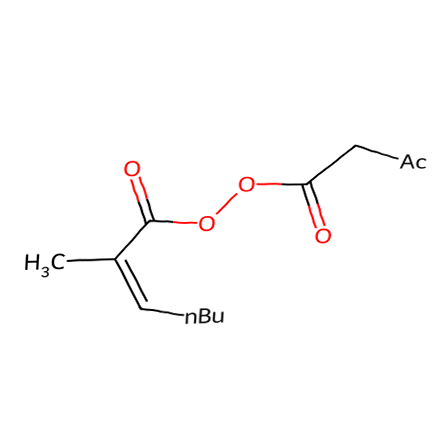 CCCCC=C(C)C(=O)OOC(=O)CC(C)=O